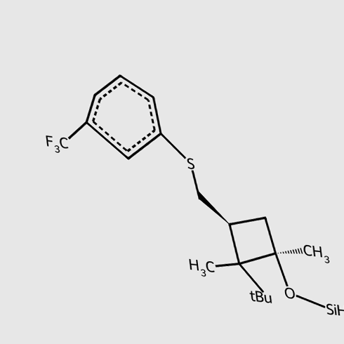 CC(C)(C)C1(C)[C@@H](CSc2cccc(C(F)(F)F)c2)C[C@@]1(C)O[SiH3]